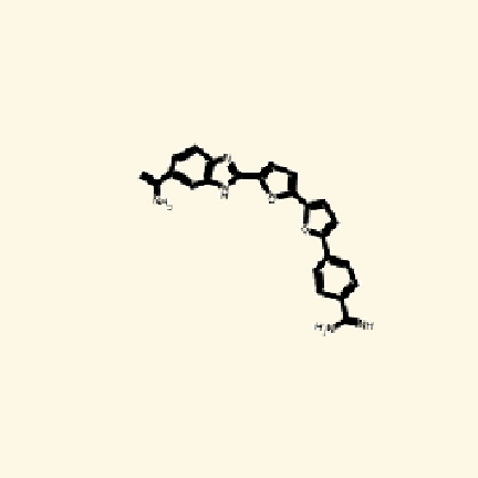 C=C(N)c1ccc2nc(-c3ccc(-c4ccc(-c5ccc(C(=N)N)cc5)o4)o3)[nH]c2c1